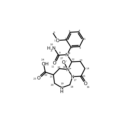 COc1ccccc1N(C(N)=O)C1CCC(=O)N2CNCC(C(=O)O)C[N+]12[O-]